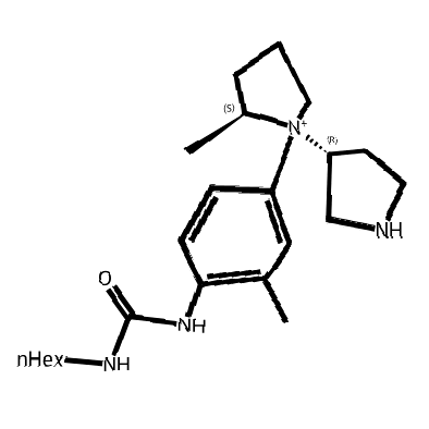 CCCCCCNC(=O)Nc1ccc([N+]2([C@@H]3CCNC3)CCC[C@@H]2C)cc1C